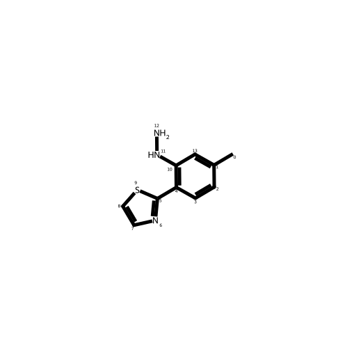 Cc1ccc(-c2nccs2)c(NN)c1